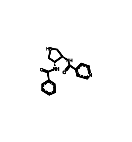 O=C(N[C@@H]1CNC[C@H]1NC(=O)c1ccncc1)c1ccccc1